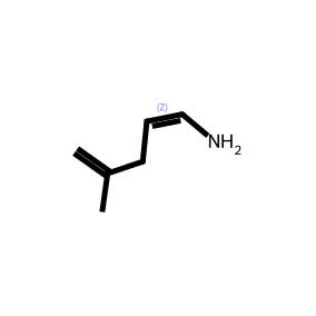 C=C(C)C/C=C\N